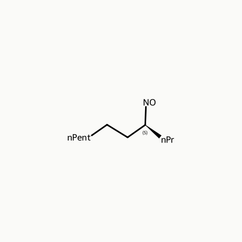 CCCCCCC[C@H](CCC)N=O